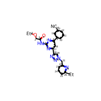 CCOCC(=O)Nc1nc(-c2cccc(C#N)c2)cc(-c2cn(Cc3cccc(CC)n3)nn2)n1